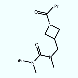 CC(C)C(=O)N1CC(CN(C)C(=O)N(C)C(C)C)C1